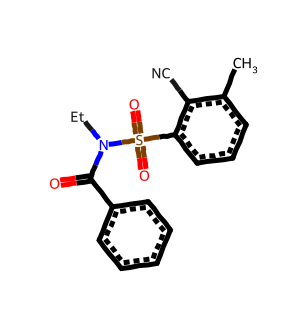 CCN(C(=O)c1ccccc1)S(=O)(=O)c1cccc(C)c1C#N